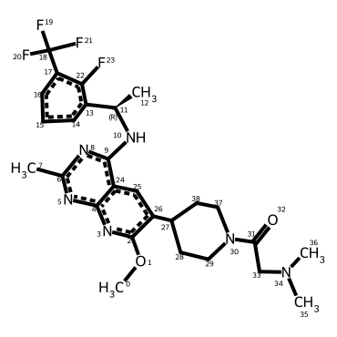 COc1nc2nc(C)nc(N[C@H](C)c3cccc(C(F)(F)F)c3F)c2cc1C1CCN(C(=O)CN(C)C)CC1